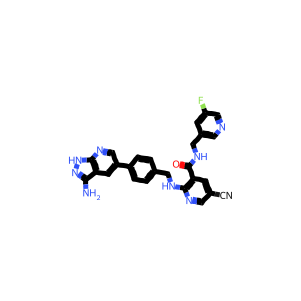 N#Cc1cnc(NCc2ccc(-c3cnc4[nH]nc(N)c4c3)cc2)c(C(=O)NCc2cncc(F)c2)c1